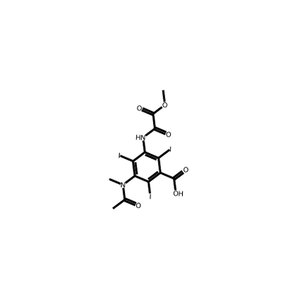 COC(=O)C(=O)Nc1c(I)c(C(=O)O)c(I)c(N(C)C(C)=O)c1I